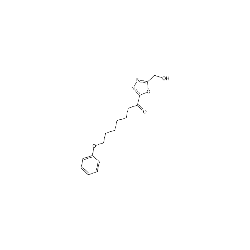 O=C(CCCCCCOc1ccccc1)c1nnc(CO)o1